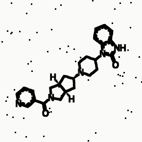 O=C(c1cccnc1)N1C[C@H]2C[C@@H](N3CCC(n4c(=O)[nH]c5ccccc54)CC3)C[C@H]2C1